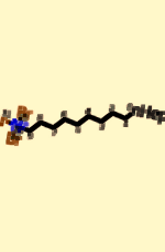 CCCCCCCCCCCCCCCC[N+](Br)(Br)Br